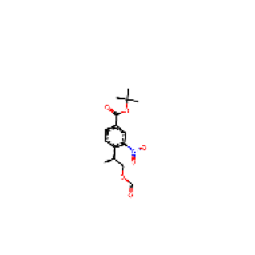 CC(COC=O)c1ccc(C(=O)OC(C)(C)C)cc1[N+](=O)[O-]